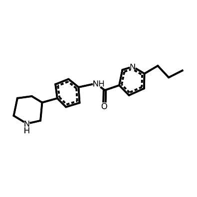 CCCc1ccc(C(=O)Nc2ccc(C3CCCNC3)cc2)cn1